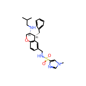 CC(C)CN[C@H]1COc2ccc(CNS(=O)(=O)c3cn(C)cn3)cc2[C@H]1Cc1ccccc1